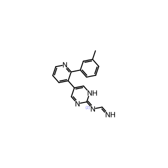 Cc1cccc(-c2ncccc2-c2cn/c(=N/C=N)[nH]c2)c1